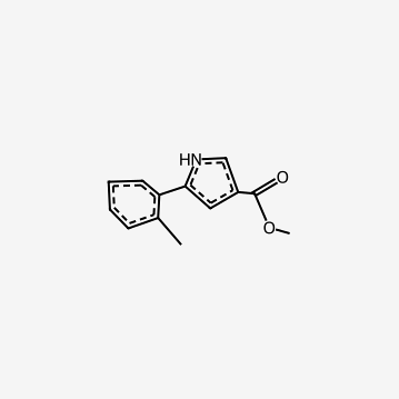 COC(=O)c1c[nH]c(-c2ccccc2C)c1